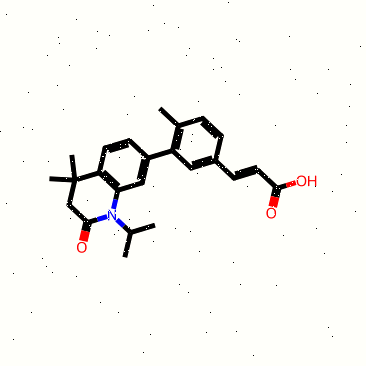 Cc1ccc(/C=C/C(=O)O)cc1-c1ccc2c(c1)N(C(C)C)C(=O)CC2(C)C